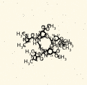 CCC1N=C(C)C=C1C(=O)Nc1nc2cc(C(=O)OC)cc3c2n1C/C=C/Cn1c(NC(=O)c2cc(C)nn2CC)nc2cc(C(=O)OC)cc(c21)OCC(N1CCC(O[Si](C)(C)C(C)(C)C)C1)CO3